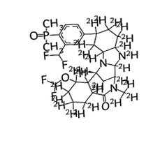 [2H]C1[C@@]2([2H])N(C([2H])([2H])[2H])C(=O)C3([2H])C([2H])([2H])C([2H])([2H])C([2H])([2H])C([2H])(OC(F)F)C3([2H])[C@]1([2H])N1C3([2H])C([2H])([2H])C([2H])(c4ccc(P(C)(C)=O)c(C(F)F)c4)C([2H])([2H])C([2H])([2H])C3([2H])N([2H])C12[2H]